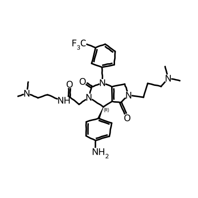 CN(C)CCCN1CC2=C(C1=O)[C@@H](c1ccc(N)cc1)N(CC(=O)NCCN(C)C)C(=O)N2c1cccc(C(F)(F)F)c1